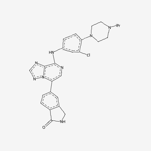 CC(C)N1CCN(c2ccc(Nc3ncc(-c4ccc5c(c4)CNC5=O)n4ncnc34)cc2Cl)CC1